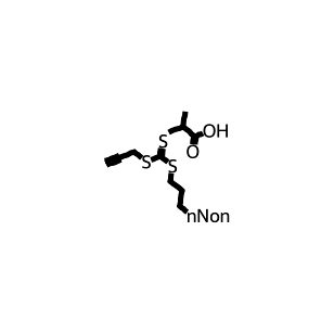 C#CCSC(=S)SCCCCCCCCCCCC.CC(C)C(=O)O